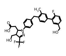 Cc1cc(-c2cc(CO)ccc2F)ccc1Cc1ccc(N2N=C(C(F)(F)F)C(CO)C2CC(=O)O)cc1